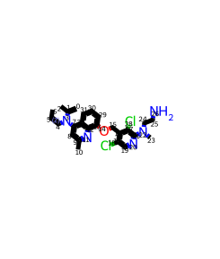 C=C(C)N(/C=C\C)c1cc(C)nc2c(OCc3c(Cl)cnc(N(C)CCN)c3Cl)cccc12